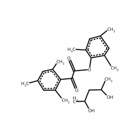 CC(O)CC(C)O.Cc1cc(C)c(OC(=O)C(=O)c2c(C)cc(C)cc2C)c(C)c1